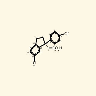 O=C(O)C[C@@]1(c2ccc(Cl)cc2)CCc2ccc(Cl)cc21